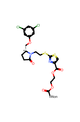 CCCCCCCCCC(=O)OCCOC(=O)c1csc(SCCN2C(=O)CC[C@@H]2COc2cc(Cl)cc(Cl)c2)n1